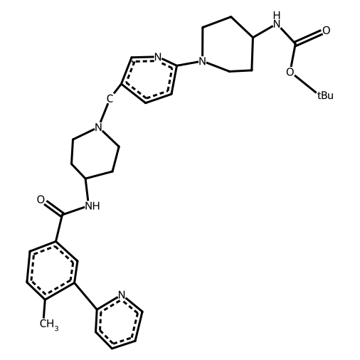 Cc1ccc(C(=O)NC2CCN(Cc3ccc(N4CCC(NC(=O)OC(C)(C)C)CC4)nc3)CC2)cc1-c1ccccn1